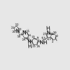 c1ccc2c(CCNc3ccc(Nc4ccnc(CN5CCCC5)c4)cc3)c[nH]c2c1